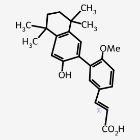 COc1ccc(/C=C/C(=O)O)cc1-c1cc2c(cc1O)C(C)(C)CCC2(C)C